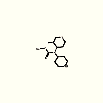 CC(C)(C)OC(=O)N(C1CCNCC1)[C@@H]1CCOC[C@@H]1F